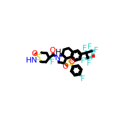 N=S1(=O)CCC(F)(C(=O)N2CC[C@@]3(S(=O)(=O)c4ccc(F)cc4)c4ccc(C(F)(C(F)(F)F)C(F)(F)F)cc4CC[C@@H]23)CC1